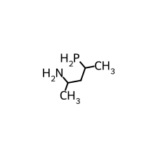 CC(N)CC(C)P